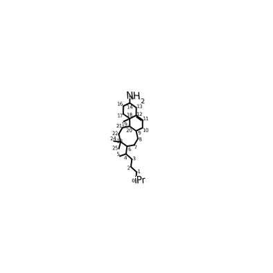 CC(C)CCCC(C)C1CCC2CC=C3CC(N)CCC3(C)C2CCC1(C)C